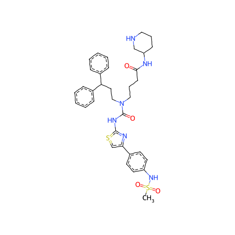 CS(=O)(=O)Nc1ccc(-c2csc(NC(=O)N(CCCC(=O)NC3CCCNC3)CCC(c3ccccc3)c3ccccc3)n2)cc1